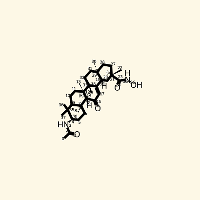 CC(=O)N[C@@H]1CC[C@@]2(C)C(CC[C@]3(C)[C@@H]2C(=O)C=C2[C@@H]4C[C@@](C)(C(=O)NO)CC[C@]4(C)CC[C@]23C)C1(C)C